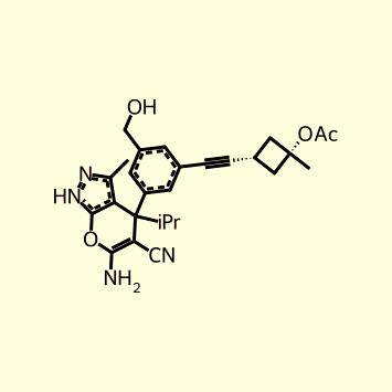 CC(=O)O[C@]1(C)C[C@H](C#Cc2cc(CO)cc(C3(C(C)C)C(C#N)=C(N)Oc4[nH]nc(C)c43)c2)C1